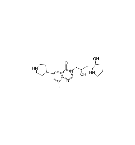 Cc1cc(C2CCNCC2)cc2c(=O)n(C[C@@H](O)C[C@H]3NCCC[C@@H]3O)cnc12